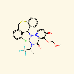 COCOc1c2n(ccc1=O)N([C@@H]1c3ccccc3SCc3cccc(Cl)c31)CN([C@H](C)C(F)(F)F)C2=O